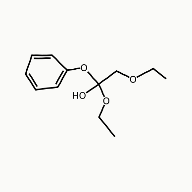 CCOCC(O)(OCC)Oc1ccccc1